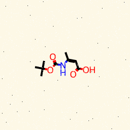 CC(=CC(=O)O)NC(=O)OC(C)(C)C